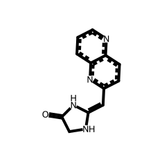 O=C1CNC(=Cc2ccc3ncccc3n2)N1